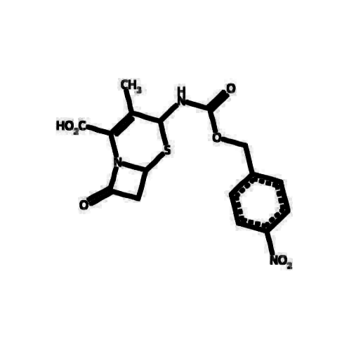 CC1=C(C(=O)O)N2C(=O)CC2SC1NC(=O)OCc1ccc([N+](=O)[O-])cc1